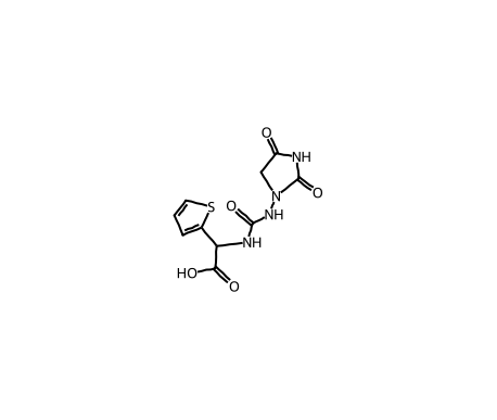 O=C1CN(NC(=O)NC(C(=O)O)c2cccs2)C(=O)N1